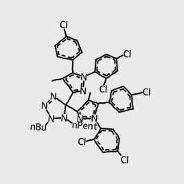 CCCCCN1N(CCCC)N=NC1(c1nn(-c2ccc(Cl)cc2Cl)c(-c2ccc(Cl)cc2)c1C)c1nn(-c2ccc(Cl)cc2Cl)c(-c2ccc(Cl)cc2)c1C